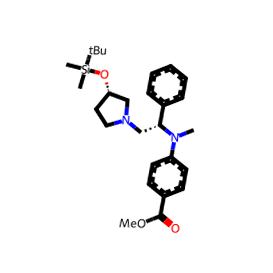 COC(=O)c1ccc(N(C)[C@H](CN2CC[C@H](O[Si](C)(C)C(C)(C)C)C2)c2ccccc2)cc1